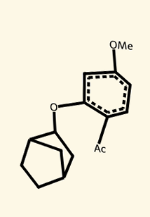 COc1ccc(C(C)=O)c(OC2CC3CCC2C3)c1